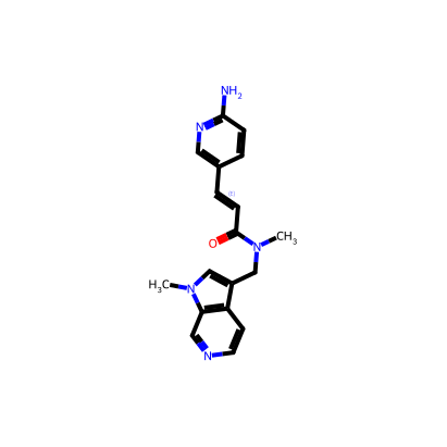 CN(Cc1cn(C)c2cnccc12)C(=O)/C=C/c1ccc(N)nc1